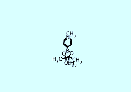 C[n+]1ccc(B2OC(C)(C)C(C)(C)O2)cc1